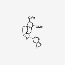 COc1ccc(CN2C(c3cnc4ccsc4c3)=NOC23CN2CCC3CC2)c(OC)c1